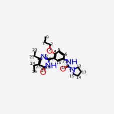 CCCOc1ccc(NC(=O)N2CCCC2)cc1-c1nc(CC)c(CC)c(=O)[nH]1